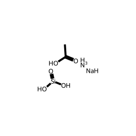 CC(=O)O.N.O=[Si](O)O.[NaH]